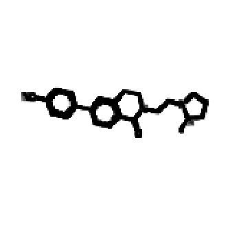 C[C@@H]1CCCN1CCN1CCc2cc(-c3ccc(C#N)cc3)ccc2C1=O